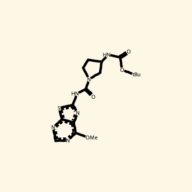 COc1ncnc2sc(NC(=O)N3CCC(NC(=O)OC(C)(C)C)C3)nc12